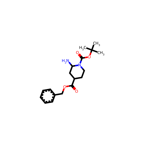 CC(C)(C)OC(=O)N1CCC(C(=O)OCc2ccccc2)CC1N